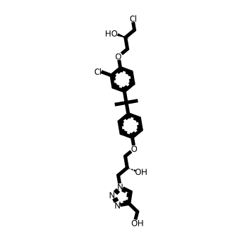 CC(C)(c1ccc(OC[C@H](O)Cn2cc(CO)nn2)cc1)c1ccc(OC[C@@H](O)CCl)c(Cl)c1